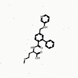 CSCCC(NC(=O)c1ccc(CNc2cccnc2)cc1-c1ccccc1)C(=O)O